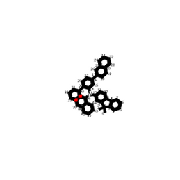 CC1(C)c2ccccc2-c2ccc(N(c3cc(-c4ccc5ccccc5c4)ccc3-c3ccccc3)c3cccc4ccccc34)cc21